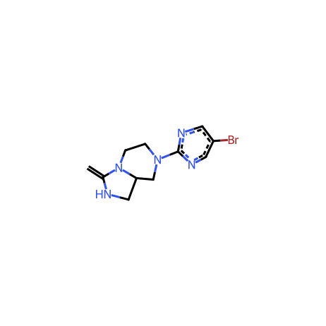 C=C1NCC2CN(c3ncc(Br)cn3)CCN12